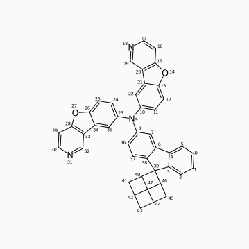 c1ccc2c(c1)-c1cc(N(c3ccc4oc5ccncc5c4c3)c3ccc4oc5ccncc5c4c3)ccc1C21C2CC3CC4CC1C342